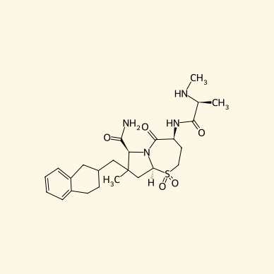 CN[C@@H](C)C(=O)N[C@H]1CCS(=O)(=O)[C@H]2CC(C)(CC3CCc4ccccc4C3)[C@@H](C(N)=O)N2C1=O